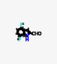 O=Cc1cc2c(F)ccc(F)c2[nH]1